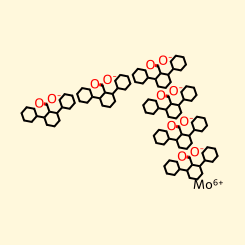 O=C([O-])C1C(C2CCCCC2)CCCC1C1CCCCC1.O=C([O-])C1C(C2CCCCC2)CCCC1C1CCCCC1.O=C([O-])C1C(C2CCCCC2)CCCC1C1CCCCC1.O=C([O-])C1C(C2CCCCC2)CCCC1C1CCCCC1.O=C([O-])C1C(C2CCCCC2)CCCC1C1CCCCC1.O=C([O-])C1C(C2CCCCC2)CCCC1C1CCCCC1.[Mo+6]